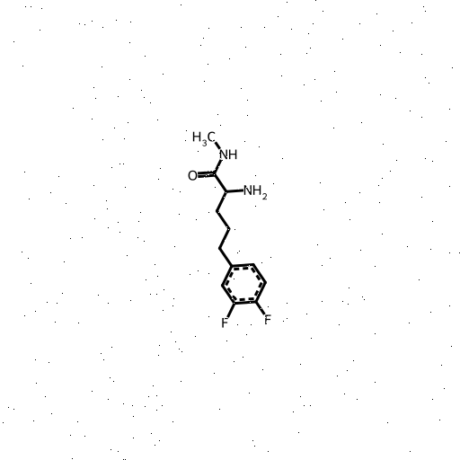 CNC(=O)C(N)CCCc1ccc(F)c(F)c1